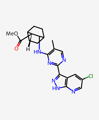 COC(=O)[C@@H]1C2CCC(CC2)C1Nc1nc(-c2n[nH]c3ncc(Cl)cc23)ncc1C